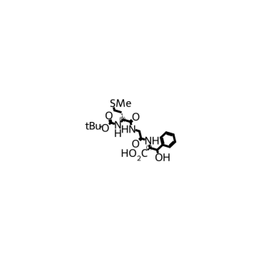 CSCC[C@@H](NC(=O)OC(C)(C)C)C(=O)NCC(=O)N[C@H](C(=O)O)C(O)c1ccccc1